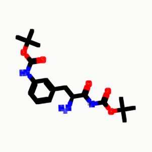 CC(C)(C)OC(=O)[N]C(=O)[C@@H](N)Cc1cccc(NC(=O)OC(C)(C)C)c1